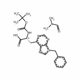 CC(C)(C)OC(=O)N[C@H](Cc1ncnc2c1ncn2Cc1ccccc1)C(=O)O.CN(C)C=O